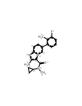 Cc1c(F)cccc1-c1ccc2nc(N)c(C(=O)N(C)C3CC3)n2c1